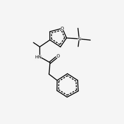 CC(NC(=O)Cc1ccccc1)c1coc([Si](C)(C)C)c1